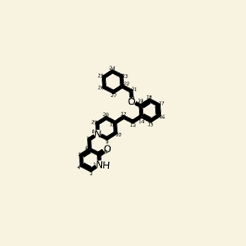 O=c1[nH]cccc1CN1CCC(CCc2ccccc2OCC2CCCCC2)CC1